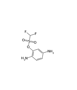 Nc1ccc(N)c(OS(=O)(=O)C(F)F)c1